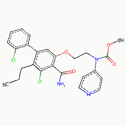 CC(C)(C)OC(=O)N(CCOc1cc(-c2ccccc2Cl)c(CCC#N)c(Cl)c1C(N)=O)c1ccncc1